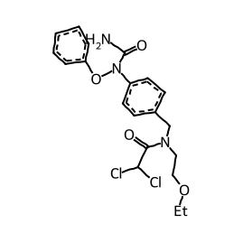 CCOCCN(Cc1ccc(N(Oc2ccccc2)C(N)=O)cc1)C(=O)C(Cl)Cl